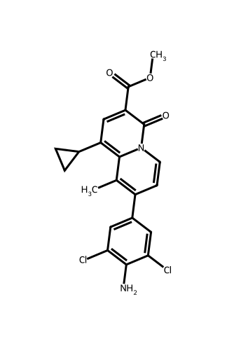 COC(=O)c1cc(C2CC2)c2c(C)c(-c3cc(Cl)c(N)c(Cl)c3)ccn2c1=O